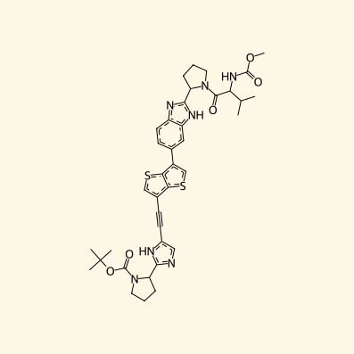 COC(=O)NC(C(=O)N1CCCC1c1nc2ccc(-c3csc4c(C#Cc5cnc(C6CCCN6C(=O)OC(C)(C)C)[nH]5)csc34)cc2[nH]1)C(C)C